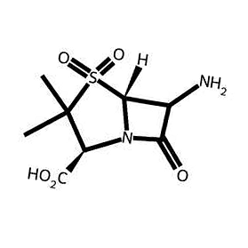 CC1(C)[C@H](C(=O)O)N2C(=O)C(N)[C@H]2S1(=O)=O